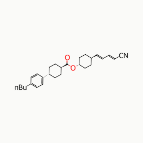 CCCCc1ccc([C@H]2CC[C@H](C(=O)O[C@H]3CC[C@H](C=CC=CC#N)CC3)CC2)cc1